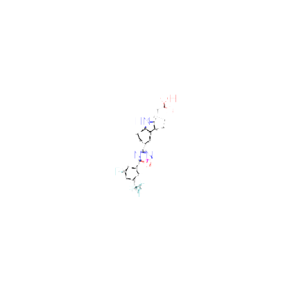 O=C(O)CC1CCc2c1[nH]c1ccc(-c3noc(-c4cc(F)cc(C(F)(F)F)c4)n3)cc21